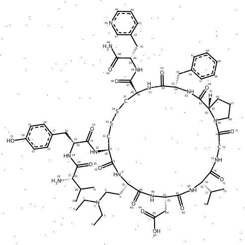 CCN(CC)CC[C@@H]1NC(=O)[C@@H](NC(=O)[C@H](Cc2ccc(O)cc2)NC(=O)[C@@H](N)C(C)C)CSSC[C@@H](C(=O)N[C@@H](Cc2cccnc2)C(N)=O)NC(=O)[C@H](Cc2ccccc2)NC(=O)[C@@H]2CCCN2C(=O)CNC(=O)[C@H](C(C)C)NC(=O)[C@H](CC(=O)O)NC1=O